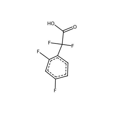 O=C(O)C(F)(F)c1ccc(F)cc1F